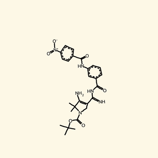 CC(C)(C)OC(=O)N1CC(C(=N)NC(=O)c2cccc(NC(=O)c3ccc([N+](=O)[O-])cc3)c2)=C(N)C1(C)C